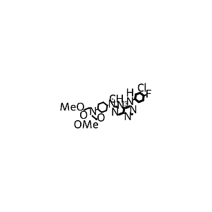 COC(=O)CN(CC(=O)OC)[C@H]1CC[C@H](N(C)c2ncc3ncnc(Nc4ccc(F)c(Cl)c4)c3n2)CC1